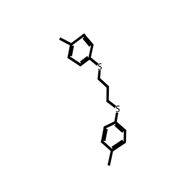 Cc1ccc(SCCCSc2ccc(C)cc2)cc1